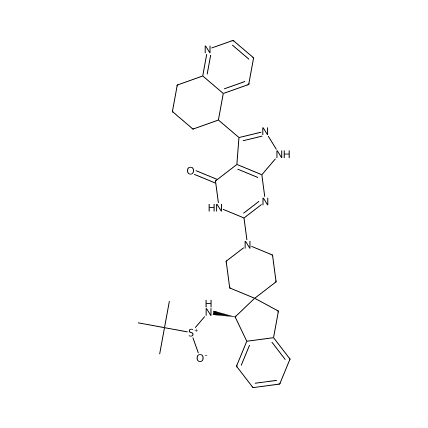 CC(C)(C)[S+]([O-])N[C@@H]1c2ccccc2CC12CCN(c1nc3[nH]nc(C4CCCc5ncccc54)c3c(=O)[nH]1)CC2